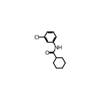 O=C(Nc1cccc(Cl)c1)C1CCCCC1